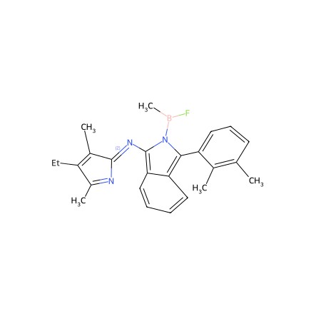 CCC1=C(C)/C(=N/c2c3ccccc3c(-c3cccc(C)c3C)n2B(C)F)N=C1C